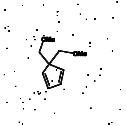 COCC1(COC)C=CC=C1